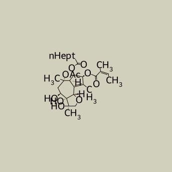 C/C=C(/C)C(=O)O[C@H]1C(C)=C2[C@H]([C@@H]1OC(=O)CCCCCCC)[C@@](C)(OC(C)=O)C[C@H](O)[C@@]1(O)[C@H]2OC[C@@]1(C)O